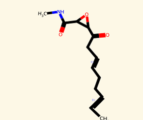 C/C=C/CC/C=C/CC(=O)C1OC1C(=O)NC